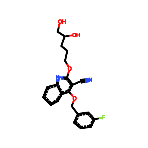 N#Cc1c(OCCCC(O)CO)nc2ccccc2c1OCc1cccc(F)c1